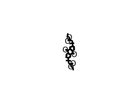 CCOC(=O)CC(C)(C)c1ccc2c(c1)C(=O)c1ccc(C(C)(C)CC(=O)OCC)cc1C2=O